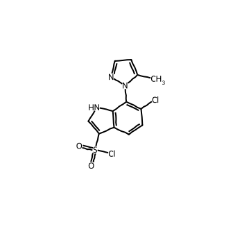 Cc1ccnn1-c1c(Cl)ccc2c(S(=O)(=O)Cl)c[nH]c12